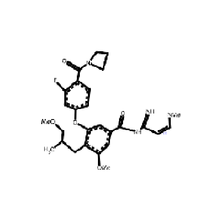 CN/C=C\C(=N)NC(=O)c1cc(OC)c(CC(C)COC)c(Oc2ccc(C(=O)N3CCC3)c(F)c2)c1